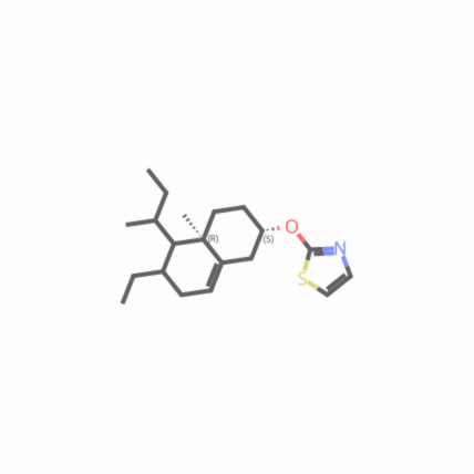 CCC(C)C1C(CC)CC=C2C[C@@H](Oc3nccs3)CC[C@@]21C